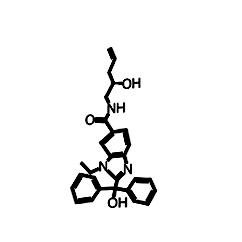 C=CC[C@@H](O)CNC(=O)c1ccc2nc(C(O)(c3ccccc3)c3ccccc3)n(CC)c2c1